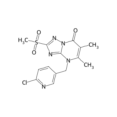 Cc1c(C)n(Cc2ccc(Cl)nc2)c2nc(S(C)(=O)=O)nn2c1=O